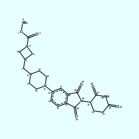 CC(C)(C)OC(=O)N1CC(CN2CCN(c3ccc4c(c3)C(=O)N(C3CCC(=O)NC3=O)C4=O)CC2)C1